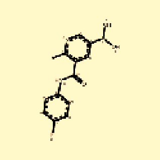 Cc1ncc(B(O)O)cc1C(=O)Nc1ccc(F)cc1